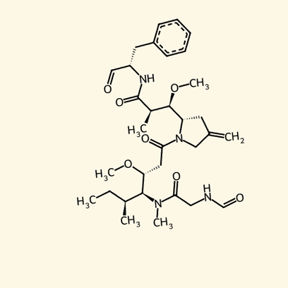 C=C1C[C@@H]([C@H](OC)[C@@H](C)C(=O)N[C@H](C=O)Cc2ccccc2)N(C(=O)C[C@@H](OC)[C@H]([C@@H](C)CC)N(C)C(=O)CNC=O)C1